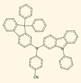 N#Cc1ccc(N(c2ccc3c(c2)C(c2ccccc2)(c2ccccc2)c2ccccc2-3)c2ccc3c4ccccc4n(-c4ccccc4)c3c2)cc1